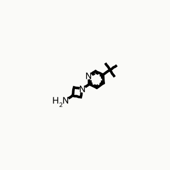 CC(C)(C)c1ccc(N2CC(N)C2)nc1